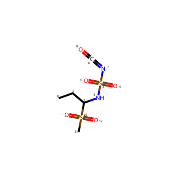 CCC(NS(=O)(=O)N=C=O)S(C)(=O)=O